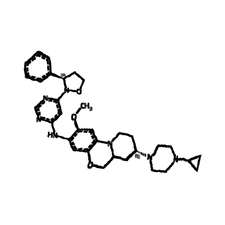 COc1cc2c(cc1Nc1cc(N3OCC[C@@H]3c3ccccc3)ncn1)OCC1C[C@@H](N3CCN(C4CC4)CC3)CCN21